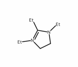 CCC1=[N+](CC)CCN1CC